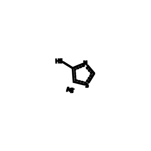 Sc1cscn1.[Ag]